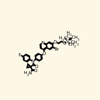 CC(C)(C)[Si](C)(C)OCCOc1cc2nccc(Oc3ccc(N(C(=O)C4(C(N)=O)CC4)c4ccc(F)cc4)cc3)c2cc1Br